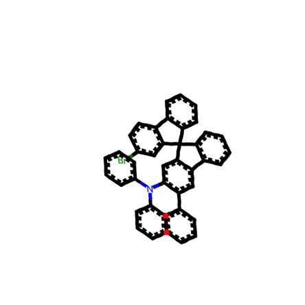 Brc1ccc2c(c1)C1(c3ccccc3-2)c2ccccc2-c2cc(-c3ccccc3)c(N(c3ccccc3)c3ccccc3)cc21